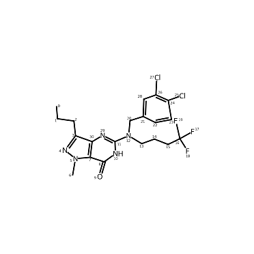 CCCc1nn(C)c2c(=O)[nH]c(N(CCCC(F)(F)F)Cc3ccc(Cl)c(Cl)c3)nc12